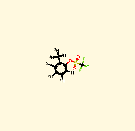 [2H]c1c([2H])c([2H])c(C([2H])([2H])[2H])c(OS(=O)(=O)C(F)(F)F)c1[2H]